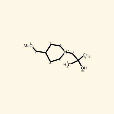 COCC1CCN(CC(C)(C)O)CC1